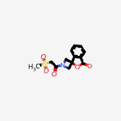 CS(=O)(=O)CC(=O)N1CC2(C1)OC(=O)c1ccccc12